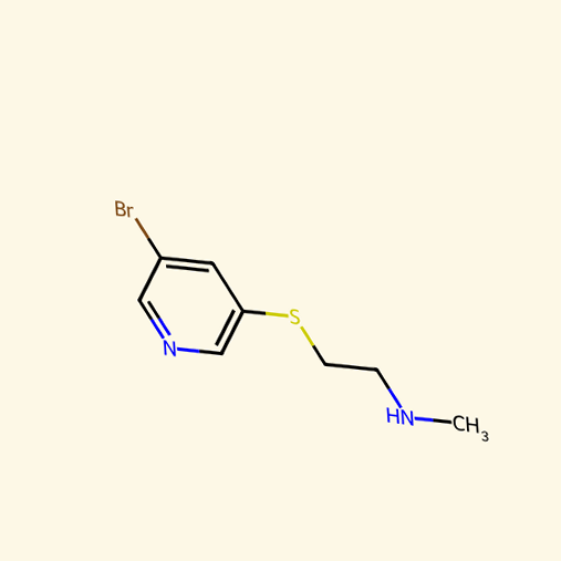 CNCCSc1cncc(Br)c1